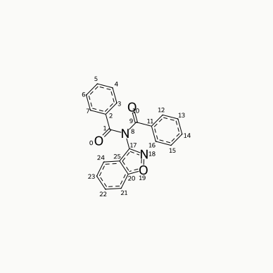 O=C(c1ccccc1)N(C(=O)c1ccccc1)c1noc2ccccc12